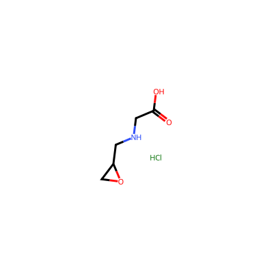 Cl.O=C(O)CNCC1CO1